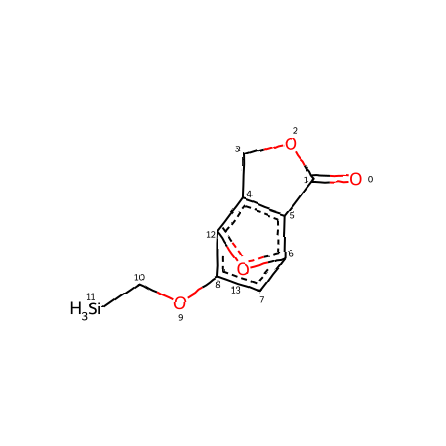 O=C1OCc2c1c1cc(OC[SiH3])c2o1